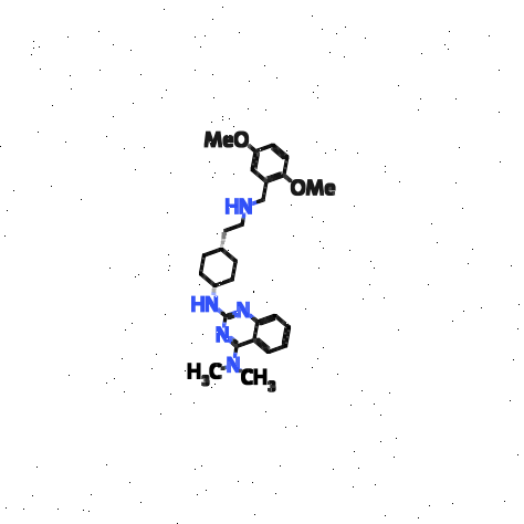 COc1ccc(OC)c(CNCC[C@H]2CC[C@@H](Nc3nc(N(C)C)c4ccccc4n3)CC2)c1